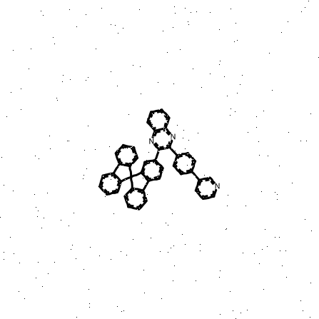 c1cncc(-c2ccc(-c3nc4ccccc4nc3-c3ccc4c(c3)C3(c5ccccc5-c5ccccc53)c3ccccc3-4)cc2)c1